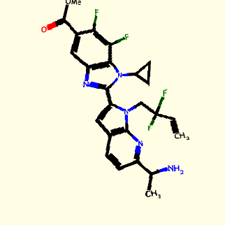 C=CC(F)(F)Cn1c(-c2nc3cc(C(=O)OC)c(F)c(F)c3n2C2CC2)cc2ccc(C(C)N)nc21